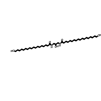 O=C(CCCCCCCCCCCCCCCCCO)NCC(O)CNC(=O)CCCCCCCCCCCCCCCCCO